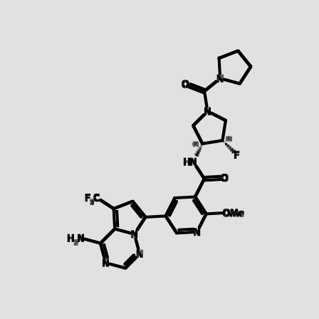 COc1ncc(-c2cc(C(F)(F)F)c3c(N)ncnn23)cc1C(=O)N[C@@H]1CN(C(=O)N2CCCC2)C[C@@H]1F